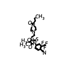 CCCC(=O)N1CCN(CCN2C(=S)N(c3ccc(C#N)c(C(F)(F)F)c3)C(=O)C2(C)C)CC1